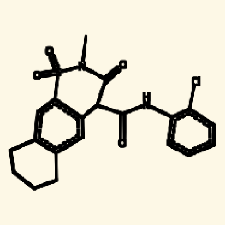 CN1C(=O)C(C(=O)Nc2ccccc2Cl)c2cc3c(cc2S1(=O)=O)CCCC3